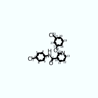 O=C(Nc1ccc(Cl)cc1)c1cccnc1Oc1cccc(Cl)c1